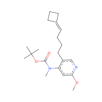 COc1cc(N(C)C(=O)OC(C)(C)C)c(CCCC=C2CCC2)cn1